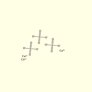 O=S(=O)([O-])[O-].O=S(=O)([O-])[O-].O=S(=O)([O-])[O-].[Ca+2].[Ca+2].[Ca+2]